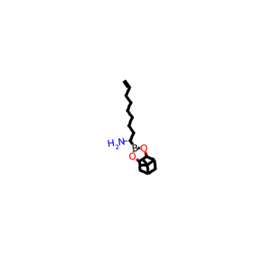 C=CCCCCCC[C@@H](N)B1OC2CC3CC(C2O1)C3(C)C